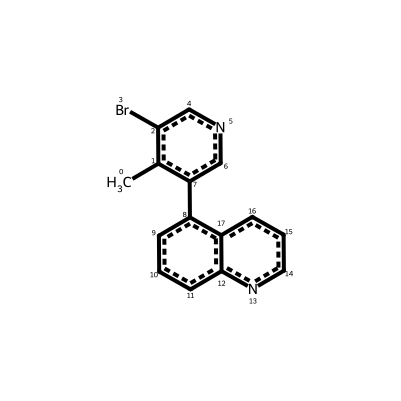 Cc1c(Br)cncc1-c1cccc2ncccc12